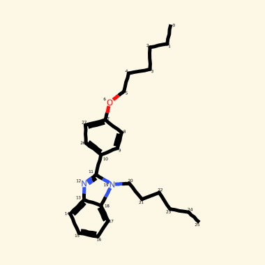 CCCCCCOc1ccc(-c2nc3ccccc3n2CCCCCC)cc1